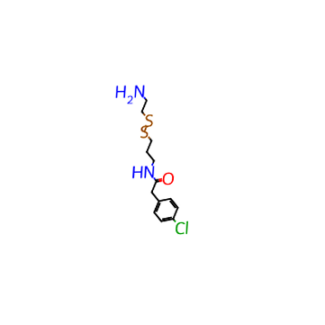 NCCSSCCCNC(=O)Cc1ccc(Cl)cc1